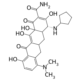 CN(C)c1ccc(O)c2c1CC1CC3[C@@H](NC4CCCC4)C(O)=C(C(N)=O)C(=O)C3(O)C(O)=C1C2=O